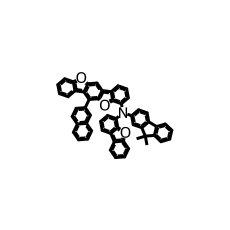 CC1(C)c2ccccc2-c2ccc(N(c3cccc4c3oc3ccccc34)c3cccc4c3oc3c(-c5ccc6ccccc6c5)c5c(cc34)oc3ccccc35)cc21